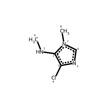 CNc1c(Cl)ncn1C